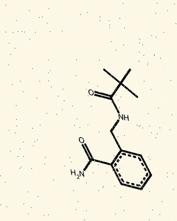 CC(C)(C)C(=O)NCc1ccccc1C(N)=O